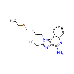 CCSCCCCn1c(CC)nc2c(N)nc3ccccc3c21